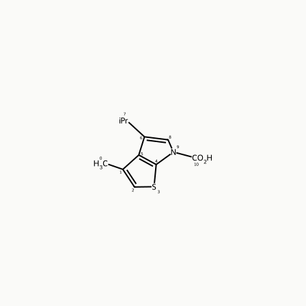 Cc1csc2c1c(C(C)C)cn2C(=O)O